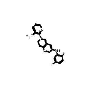 Cc1cccnc1N1CCc2ncc(Nc3cc(F)ccc3F)cc2C1